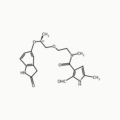 Cc1cc(C(=O)N(C)CCOC[C@H](C)Oc2ccc3c(c2)CC(=O)N3)c(C=O)[nH]1